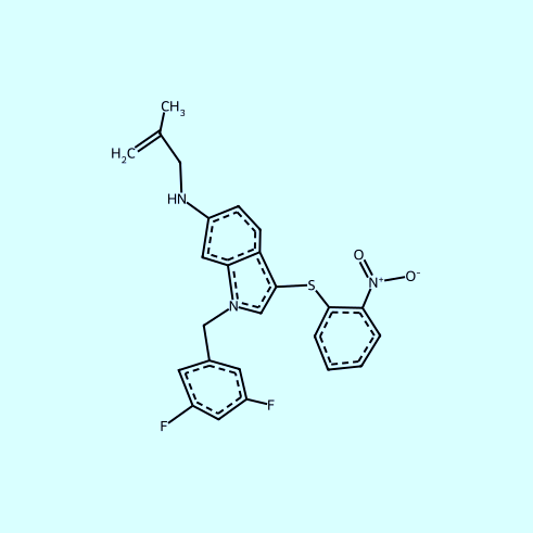 C=C(C)CNc1ccc2c(Sc3ccccc3[N+](=O)[O-])cn(Cc3cc(F)cc(F)c3)c2c1